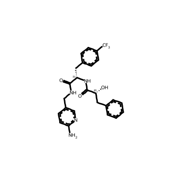 Nc1ccc(CNC(=O)[C@H](Cc2ccc(C(F)(F)F)cc2)NC(=O)[C@H](O)Cc2ccccc2)cn1